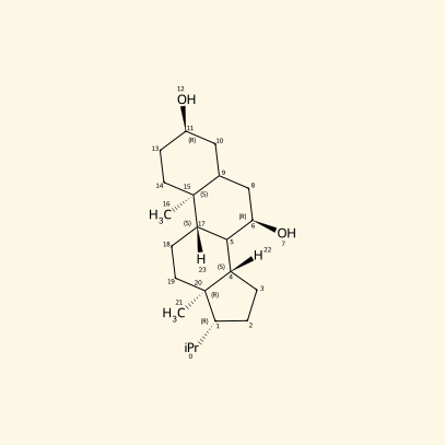 CC(C)[C@H]1CC[C@H]2C3[C@H](O)CC4C[C@H](O)CC[C@]4(C)[C@H]3CC[C@]12C